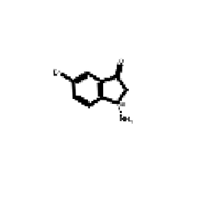 N[C@H]1CC(=O)c2cc(Br)ccc21